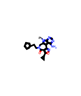 CC(C)n1c2c(c3c(N)ncnc31)-c1noc(C3CC3)c1C(=O)N(CCc1ccccc1)C2